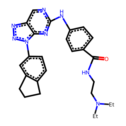 CCN(CC)CCNC(=O)c1ccc(Nc2ncc3nnn(-c4ccc5c(c4)CCC5)c3n2)cc1